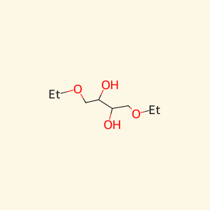 CCOCC(O)C(O)COCC